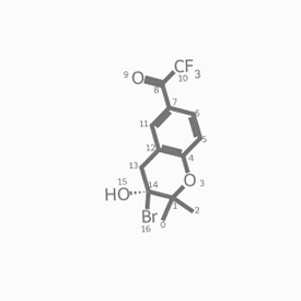 CC1(C)Oc2ccc(C(=O)C(F)(F)F)cc2C[C@]1(O)Br